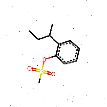 CCC(C)c1ccccc1OS(C)(=O)=O